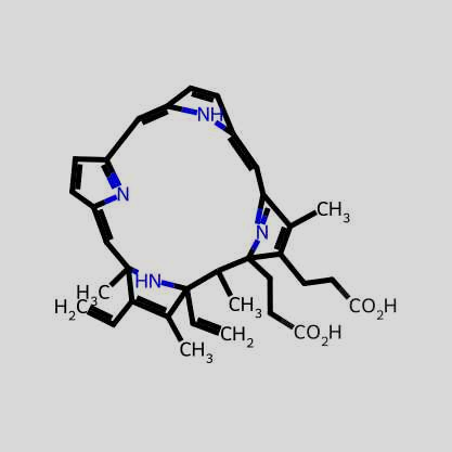 C=CC1=C(C)C2(C=C)NC1(C)C=C1C=CC(=N1)C=c1ccc([nH]1)=CC1=NC(CCC(=O)O)(C(CCC(=O)O)=C1C)C2C